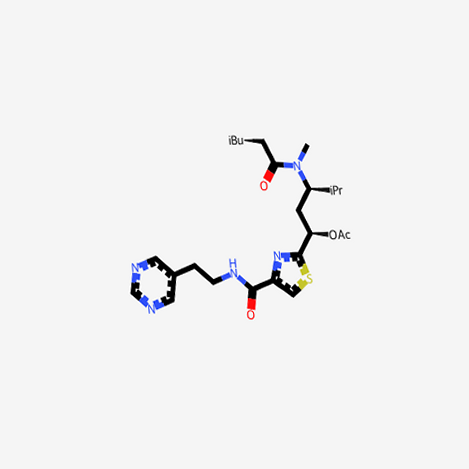 CC[C@H](C)CC(=O)N(C)[C@H](C[C@@H](OC(C)=O)c1nc(C(=O)NCCc2cncnc2)cs1)C(C)C